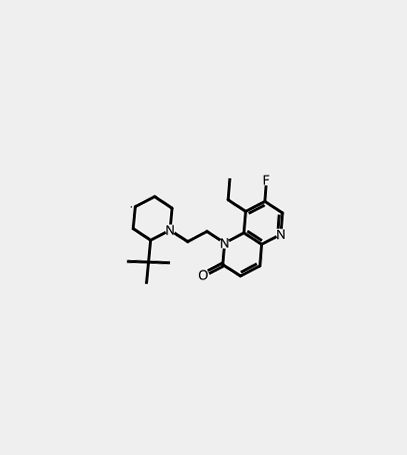 CCc1c(F)cnc2ccc(=O)n(CCN3CC[CH]CC3C(C)(C)C)c12